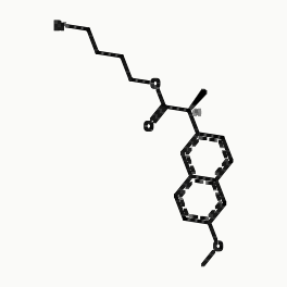 COc1ccc2cc([C@H](C)C(=O)OCCCCBr)ccc2c1